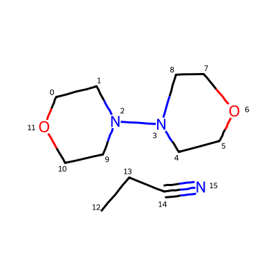 C1CN(N2CCOCC2)CCO1.CCC#N